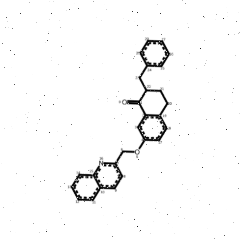 O=C1c2cc(OCc3ccc4ccccc4n3)ccc2CCC1Cc1ccccc1